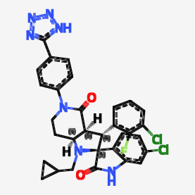 O=C1[C@@H]2[C@H](CCN1c1ccc(-c3nnn[nH]3)cc1)N(CC1CC1)[C@@]1(C(=O)Nc3cc(Cl)ccc31)[C@H]2c1cccc(Cl)c1F